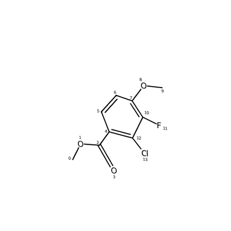 COC(=O)c1ccc(OC)c(F)c1Cl